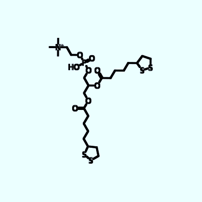 C[N+](C)(C)CCOP(=O)(O)OCC(COC(=O)CCCCC1CCSS1)OC(=O)CCCCC1CCSS1